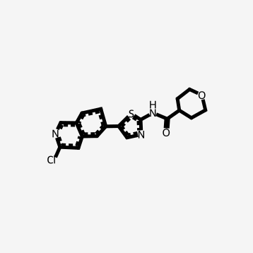 O=C(Nc1ncc(-c2ccc3cnc(Cl)cc3c2)s1)C1CCOCC1